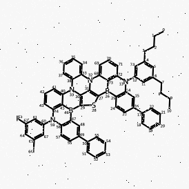 CCCCc1cc(CCCC)cc(N2c3cc(-c4ccccc4)ccc3B3c4sc5c6c4N(c4ccccc4N6c4cccc6c4B5c4cc(-c5ccccc5)ccc4N6c4cc(I)cc(I)c4)c4cccc2c43)c1